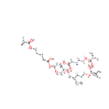 C=C(C)C(=O)OCCCCC(=O)OC1C[C@H](OC(=O)CCCCOC(=O)C(=C)C)[C@H](OCC(C=O)CCCOC(=O)C(=C)C)CO1